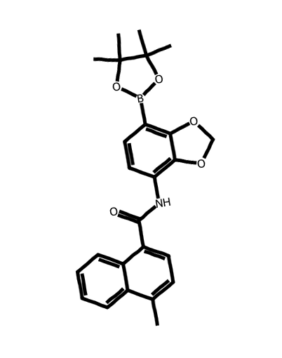 Cc1ccc(C(=O)Nc2ccc(B3OC(C)(C)C(C)(C)O3)c3c2OCO3)c2ccccc12